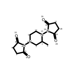 CC1CN(N2C(=O)CCC2=O)CCN1N1C(=O)CCC1=O